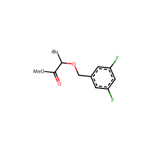 CCC(C)C(OCc1cc(F)cc(F)c1)C(=O)OC